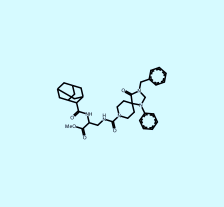 COC(=O)C(CNC(=O)N1CCC2(CC1)C(=O)N(Cc1ccccc1)CN2c1ccccc1)NC(=O)C1C2CC3CC(C2)CC1C3